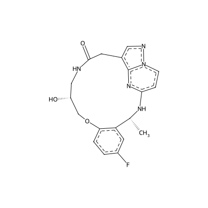 C[C@H]1Nc2ccn3ncc(c3n2)CC(=O)NC[C@@H](O)COc2ccc(F)cc21